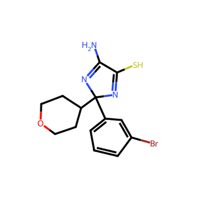 NC1=NC(c2cccc(Br)c2)(C2CCOCC2)N=C1S